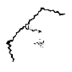 CCCCCCCC/C=C\CCCCCCCCC(CCCCCCCC/C=C\CCCCCCCC)CNCCO.COS(=O)(=O)O